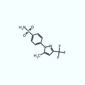 Cc1cc(C(F)(F)F)nn1-c1ccc(S(N)(=O)=O)cc1